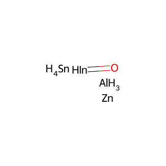 [AlH3].[O]=[InH].[SnH4].[Zn]